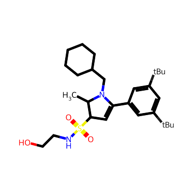 CC1C(S(=O)(=O)NCCO)C=C(c2cc(C(C)(C)C)cc(C(C)(C)C)c2)N1CC1CCCCC1